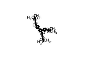 C=C(C)C(=O)OCCOC(=O)c1ccc(-c2ccc(C(=O)OCCOC(=O)C(=C)C)c(-c3ccc(OC(=O)C(=C)C)cc3)c2)cc1